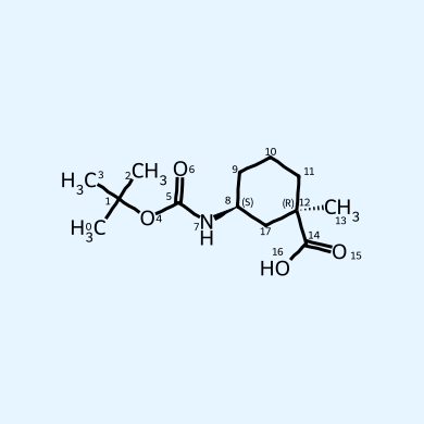 CC(C)(C)OC(=O)N[C@H]1CCC[C@@](C)(C(=O)O)C1